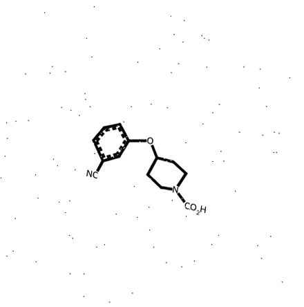 N#Cc1cccc(OC2CCN(C(=O)O)CC2)c1